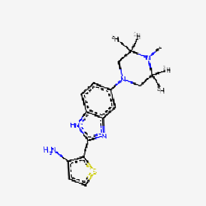 [2H]C1([2H])CN(c2ccc3[nH]c(-c4sccc4N)nc3c2)CC([2H])([2H])N1C